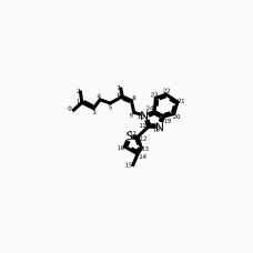 CC(C)=CCCC(C)=CCn1c(-c2cc(C)cs2)nc2ccccc21